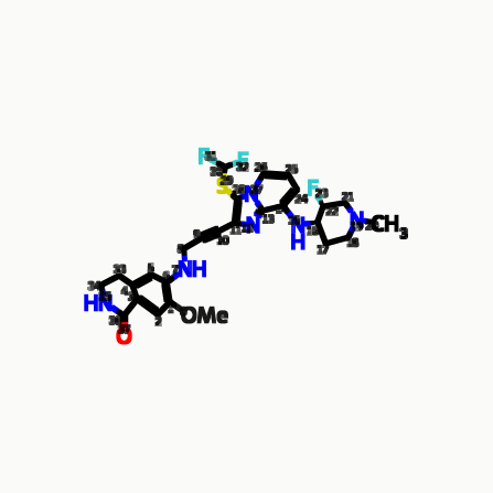 COc1cc2c(cc1NCC#Cc1nc3c(N[C@@H]4CCN(C)C[C@@H]4F)cccn3c1SC(F)F)CCNC2=O